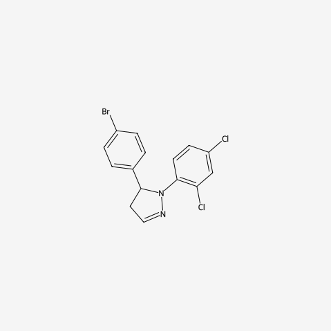 Clc1ccc(N2N=CCC2c2ccc(Br)cc2)c(Cl)c1